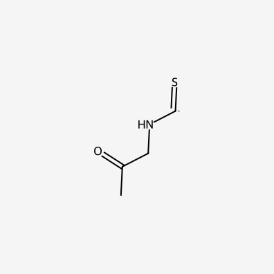 CC(=O)CN[C]=S